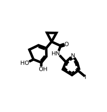 O=C(Nc1ccc(I)cn1)C1(C2=CCC(O)C(O)=C2)CC1